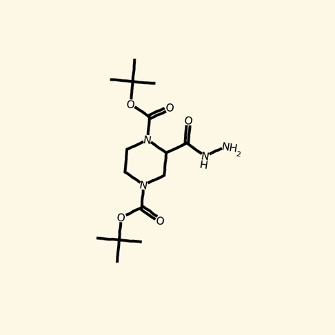 CC(C)(C)OC(=O)N1CCN(C(=O)OC(C)(C)C)C(C(=O)NN)C1